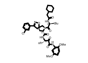 CCC[C@H](NC(=O)[C@@H]1C[C@]2(CC(c3cccc(Cl)c3)=NO2)CN1C(=O)[C@@H](NC(=O)CC1CCCCC1)C(C)(C)C)C(=O)C(=O)Nc1cc(OC)ccc1OC